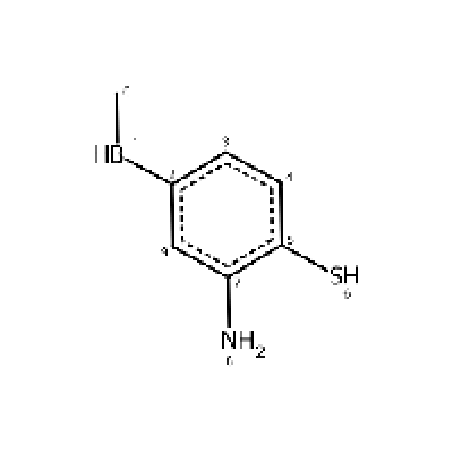 CBc1ccc(S)c(N)c1